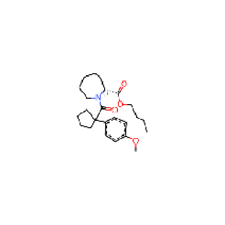 CCCCOC(=O)[C@H]1CCCCCN1C(=O)C1(c2ccc(OC)cc2)CCCC1